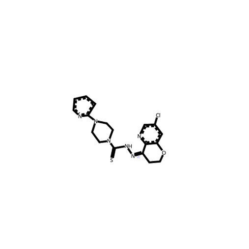 S=C(N/N=C1/CCOc2cc(Cl)cnc21)N1CCN(c2ccccn2)CC1